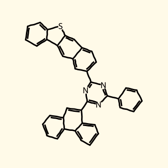 c1ccc(-c2nc(-c3ccc4cc5sc6ccccc6c5cc4c3)nc(-c3cc4ccccc4c4ccccc34)n2)cc1